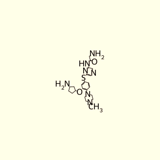 CN1CCN(c2ccc(Sc3cncc(NC(=O)CN)n3)cc2OC2CCC(N)C2)CC1